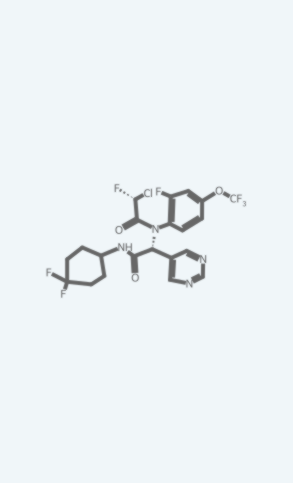 O=C(NC1CCC(F)(F)CC1)[C@@H](c1cncnc1)N(C(=O)[C@H](F)Cl)c1ccc(OC(F)(F)F)cc1F